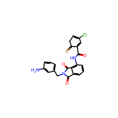 Nc1cccc(CN2C(=O)c3cccc(NC(=O)C4=CC(Cl)=CCC4=S)c3C2=O)c1